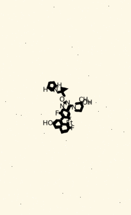 CCc1c(F)ccc2cc(O)cc(-c3c(F)cc4c(N5CCC[C@@](C)(O)C5)nc(OCC5(CN6C[C@@H]7CC[C@H]6C7)CC5)nc4c3F)c12